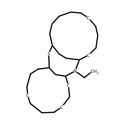 CCN1C2CCCCCCCCCCC(CC2)SC2CCCCCCCCCCC1C2